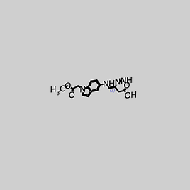 COC(=O)Cn1ccc2cc(N/C=C(/CC(=O)O)N=N)ccc21